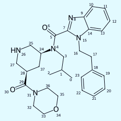 CC(C)CN(C(=O)c1nc2ccccc2n1CCc1ccccc1)[C@@H]1CNC[C@H](C(=O)N2CCOCC2)C1